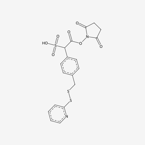 O=C(ON1C(=O)CCC1=O)C(c1ccc(CSSc2ccccn2)cc1)S(=O)(=O)O